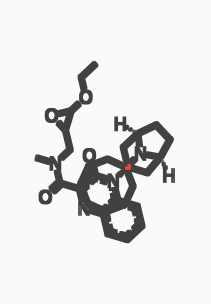 CCOC1OC1CN(C)C(=O)c1nc2ccccc2n([C@H]2C[C@H]3CC[C@@H](C2)N3C2CCCCCCC2)c1=O